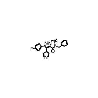 CCCn1nc(-c2ccc(F)cc2)c(-c2ccncc2)c1C(=O)NCc1ccccc1